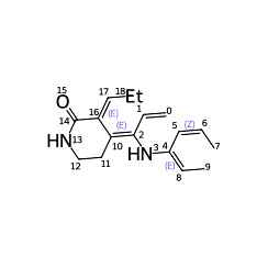 C=C/C(NC(/C=C\C)=C/C)=C1/CCNC(=O)/C1=C/CC